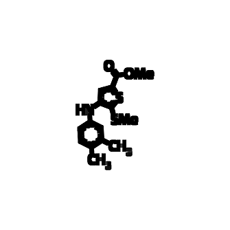 COC(=O)c1cc(Nc2ccc(C)c(C)c2)c(SC)s1